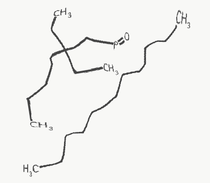 CCCCC(CC)(CC)CP=O.CCCCCCCCCCC